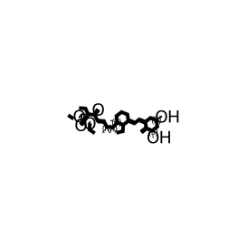 C=C1C(=CC=C2CCC[C@@]3(C)C2CC[C@@H]3[C@H](C)C=CC(=O)C(CC)P(=O)(OCC)OCC)C[C@@H](O)C[C@@H]1O